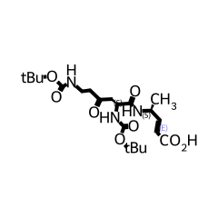 C[C@@H](/C=C/C(=O)O)NC(=O)[C@H](CC(=O)CCNC(=O)OC(C)(C)C)NC(=O)OC(C)(C)C